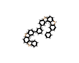 c1ccc(-c2ccc3sc4ccc5sc6ccc(-c7cccc(-c8ccc9sc%10ccc%11sc%12ccccc%12c%11c%10c9c8)c7)cc6c5c4c3c2)cc1